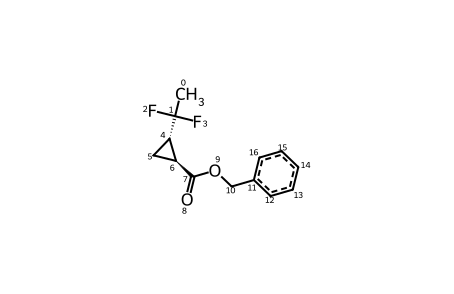 CC(F)(F)[C@H]1C[C@@H]1C(=O)OCc1ccccc1